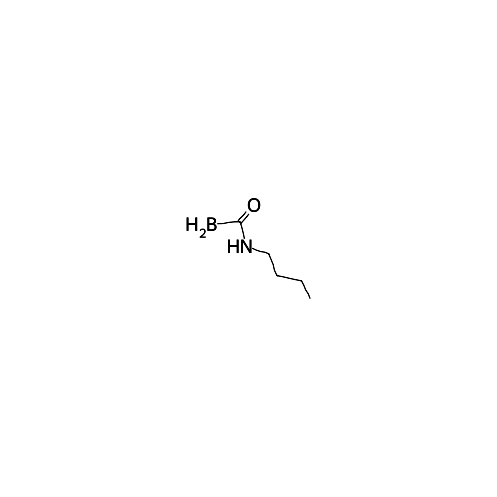 BC(=O)NCCCC